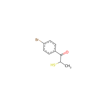 CC(S)C(=O)c1ccc(Br)cc1